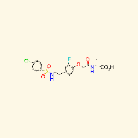 CC(NC(=O)COc1ccc(CCNS(=O)(=O)c2ccc(Cl)cc2)cc1F)C(=O)O